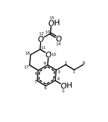 CCCc1c(O)ccc2c1OC(OC(=O)O)CC2